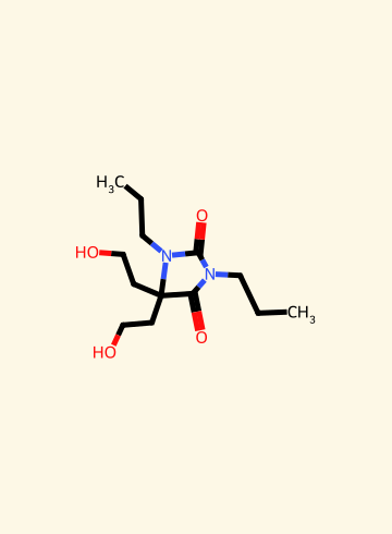 CCCN1C(=O)N(CCC)C(CCO)(CCO)C1=O